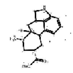 COC(=O)[C@H]1CC2c3cccc4c3C(CN4)C[C@H]2N(C)C1